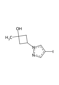 CC1(O)CC(n2cc(I)cn2)C1